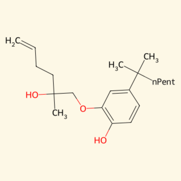 C=CCCC(C)(O)COc1cc(C(C)(C)CCCCC)ccc1O